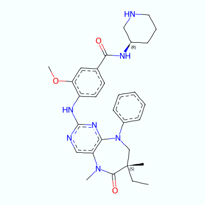 CC[C@@]1(C)CN(c2ccccc2)c2nc(Nc3ccc(C(=O)N[C@@H]4CCCNC4)cc3OC)ncc2N(C)C1=O